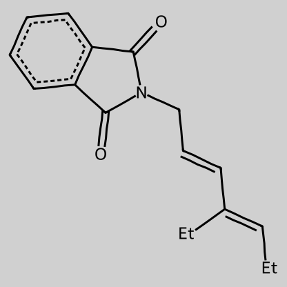 CC/C=C(/C=C/CN1C(=O)c2ccccc2C1=O)CC